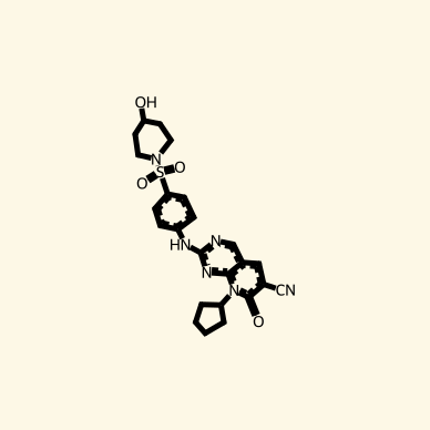 N#Cc1cc2cnc(Nc3ccc(S(=O)(=O)N4CCC(O)CC4)cc3)nc2n(C2CCCC2)c1=O